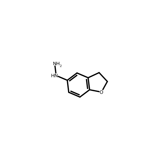 NNc1ccc2c(c1)CCO2